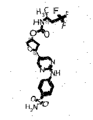 C[C@@H](CC(F)(F)F)NC(=O)O[C@H]1CO[C@H](c2cnc(Nc3ccc(S(N)(=O)=O)cc3)nc2)C1